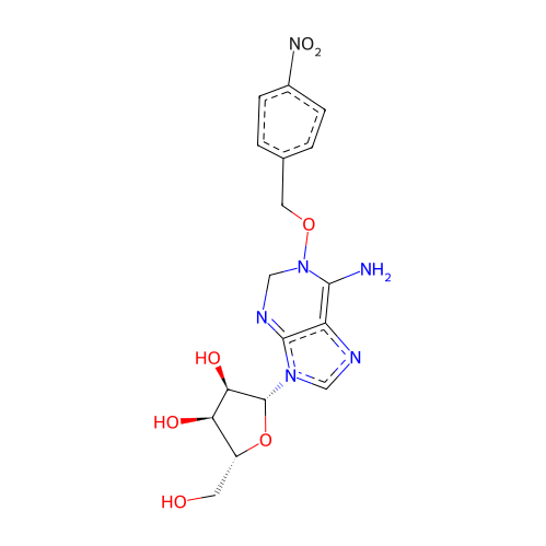 NC1=c2ncn([C@@H]3O[C@H](CO)[C@@H](O)[C@H]3O)c2=NCN1OCc1ccc([N+](=O)[O-])cc1